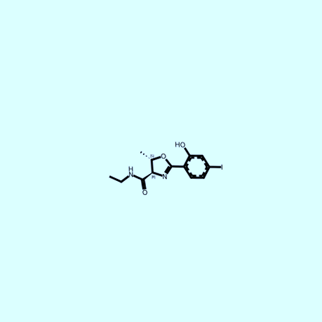 CCNC(=O)[C@@H]1N=C(c2ccc(I)cc2O)O[C@H]1C